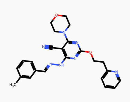 Cc1cccc(/C=N/Nc2nc(OCCc3ccccn3)nc(N3CCOCC3)c2C#N)c1